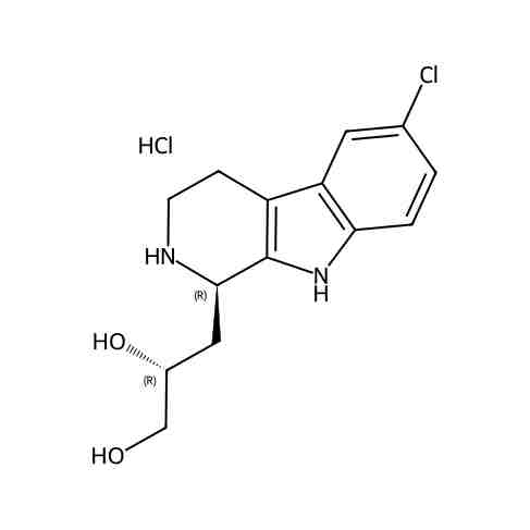 Cl.OC[C@H](O)C[C@H]1NCCc2c1[nH]c1ccc(Cl)cc21